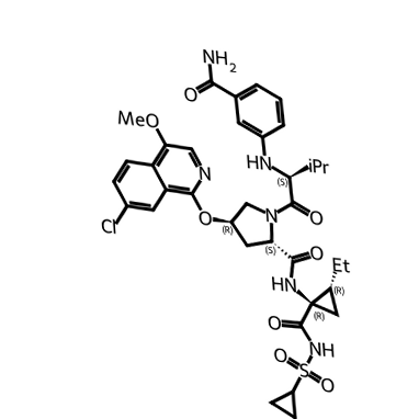 CC[C@@H]1C[C@]1(NC(=O)[C@@H]1C[C@@H](Oc2ncc(OC)c3ccc(Cl)cc23)CN1C(=O)[C@@H](Nc1cccc(C(N)=O)c1)C(C)C)C(=O)NS(=O)(=O)C1CC1